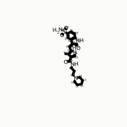 Cc1c(C(=O)NCCCN2CCCCC2)c[nH]c1/C=C1\C(=O)Nc2ccc(S(N)(=O)=O)cc21